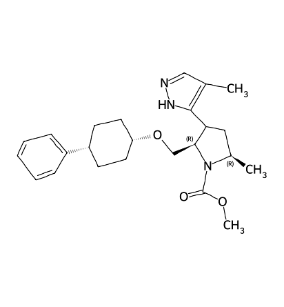 COC(=O)N1[C@H](C)CC(c2[nH]ncc2C)[C@@H]1CO[C@H]1CC[C@@H](c2ccccc2)CC1